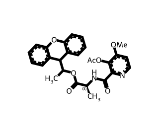 COc1ccnc(C(=O)N[C@@H](C)C(=O)OC(C)C2c3ccccc3Oc3ccccc32)c1OC(C)=O